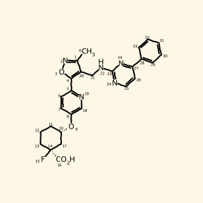 Cc1noc(-c2ccc(O[C@H]3CCC[C@@](F)(C(=O)O)C3)cn2)c1CNc1nccc(-c2ccccc2)n1